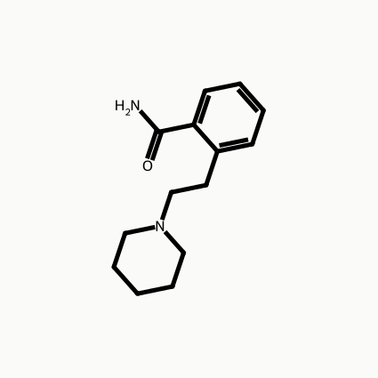 NC(=O)c1ccccc1CCN1CCCCC1